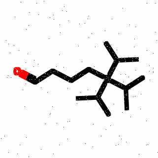 CC(C)[Si](CCCC=O)(C(C)C)C(C)C